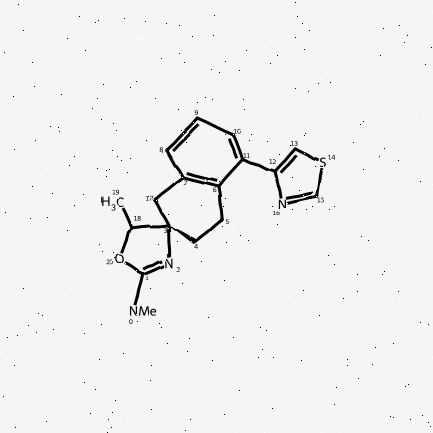 CNC1=N[C@]2(CCc3c(cccc3-c3cscn3)C2)C(C)O1